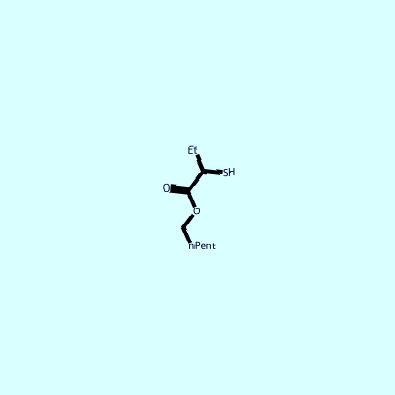 CCCCCCOC(=O)C(S)CC